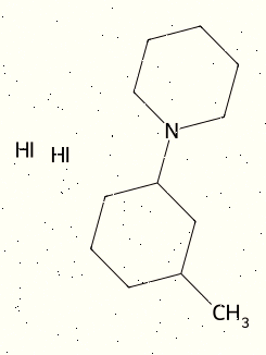 CC1CCCC(N2CCCCC2)C1.I.I